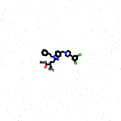 C=C/C(=C\Cc1nc2cc(CN3CCC(c4cc(Cl)cc(Cl)c4)CC3)ccc2n1CCc1ccccc1)C(=O)OC